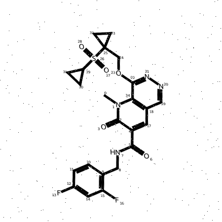 Cn1c(=O)c(C(=O)NCc2ccc(F)cc2F)cc2cnnc(OCC3(S(=O)(=O)C4CC4)CC3)c21